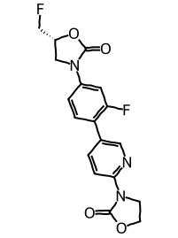 O=C1O[C@@H](CF)CN1c1ccc(-c2ccc(N3CCOC3=O)nc2)c(F)c1